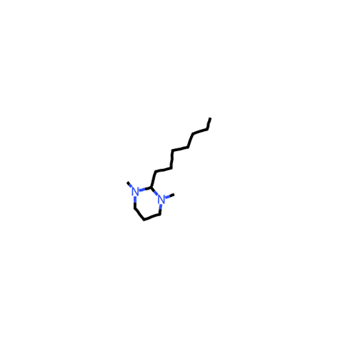 CCCCCCCC1N(C)CCCN1C